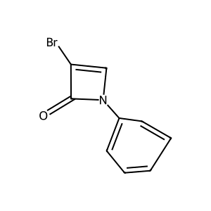 O=C1C(Br)=CN1c1ccccc1